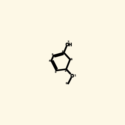 COC1C=CC=C(O)C1